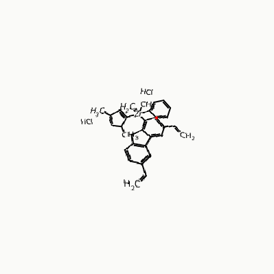 C=Cc1ccc2c(c1)-c1cc(C=C)c[c]([Zr](=[CH2])([CH3])([C]3=CC(C)=CC3C)[c]3ccccc3)c1C2.Cl.Cl